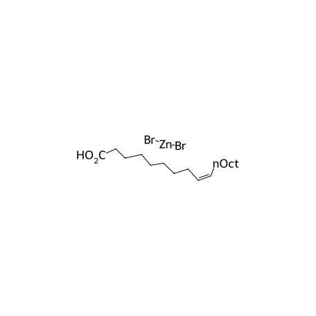 CCCCCCCC/C=C\CCCCCCCC(=O)O.[Br][Zn][Br]